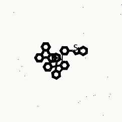 c1cc(-c2cc3ccccc3s2)cc(N(c2ccc3c4ccccc4c4ccccc4c3c2)c2cccc3c2C2(c4ccccc4-c4ccccc42)c2ccccc2-3)c1